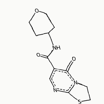 O=C(NC1CCOCC1)c1cnc2n(c1=O)CCS2